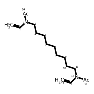 C=CN(CCCCCCCCCN(C=C)C(C)=O)C(C)=O